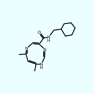 Cc1cc(C)[nH]cnc(C(=O)NCC2CCCCC2)cn1